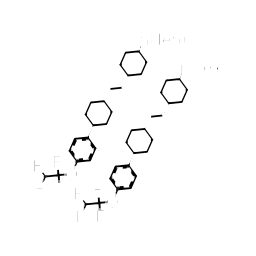 CCCCCCC[C@H]1CC[C@H](CC[C@H]2CC[C@H](c3ccc(OC(F)(F)C(F)F)cc3)CC2)CC1.CCCCCC[C@H]1CC[C@H](CC[C@H]2CC[C@H](c3ccc(OC(F)(F)C(F)F)cc3)CC2)CC1